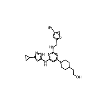 CC(C)c1cc(CNc2nc(Nc3cc(C4CC4)n[nH]3)cc(N3CCC(CCO)CC3)n2)on1